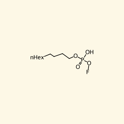 CCCCCCCCCCOP(=O)(O)OF